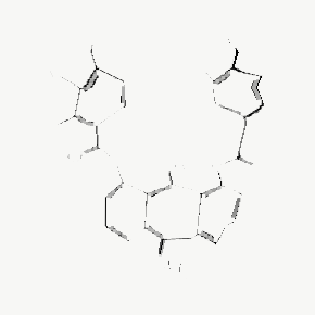 Cc1c2cccc(OC(=O)c3ccc(F)c(F)c3)c2c(C)c2c(OC(=O)c3ccc(F)c(F)c3F)cccc12